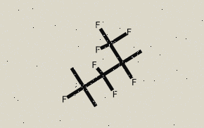 CC(C)(F)C(F)(F)C(C)(F)C(F)(F)F